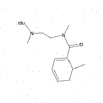 CC1CC=CC=C1C(=O)N(C)CCN(C)C(C)(C)C